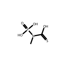 CN(C(O)=S)P(=O)(O)O